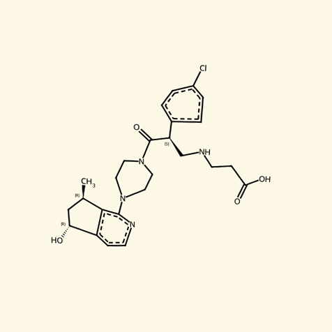 C[C@@H]1C[C@@H](O)c2ccnc(N3CCN(C(=O)[C@H](CNCCC(=O)O)c4ccc(Cl)cc4)CC3)c21